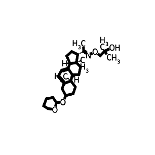 CC(=NOCC(C)(C)O)[C@H]1CC[C@H]2C3=CC=C4CC(OC5CCCCO5)CC[C@]4(C)[C@H]3CC[C@]12C